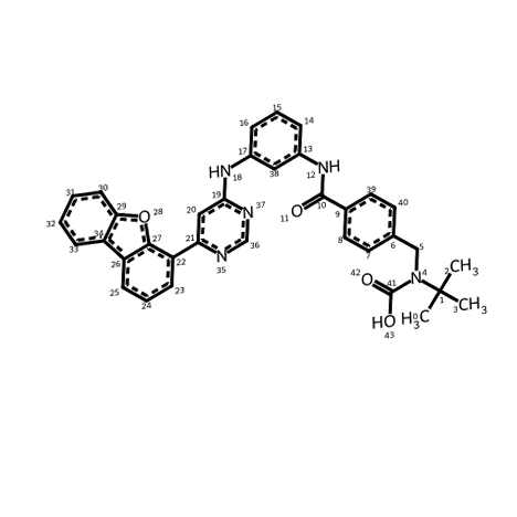 CC(C)(C)N(Cc1ccc(C(=O)Nc2cccc(Nc3cc(-c4cccc5c4oc4ccccc45)ncn3)c2)cc1)C(=O)O